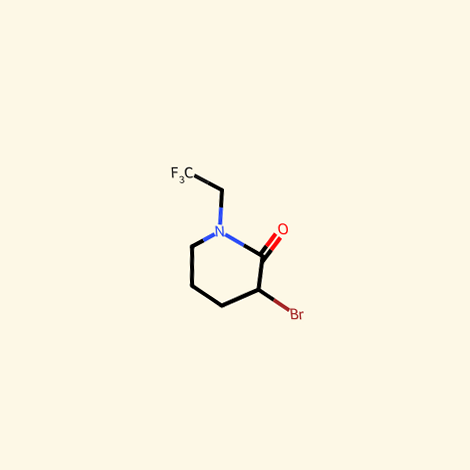 O=C1C(Br)CCCN1CC(F)(F)F